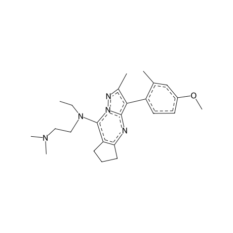 CCN(CCN(C)C)c1c2c(nc3c(-c4ccc(OC)cc4C)c(C)nn13)CCC2